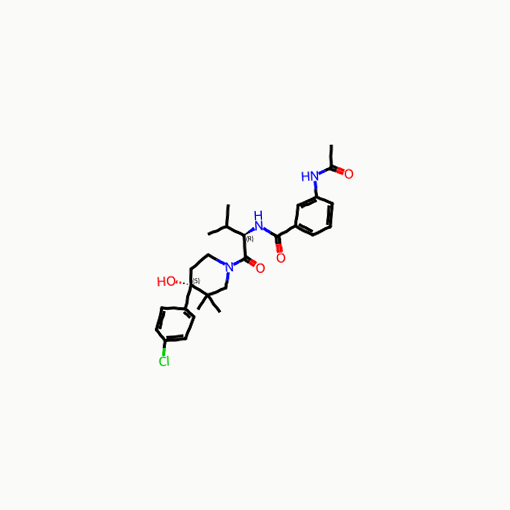 CC(=O)Nc1cccc(C(=O)N[C@@H](C(=O)N2CC[C@](O)(c3ccc(Cl)cc3)C(C)(C)C2)C(C)C)c1